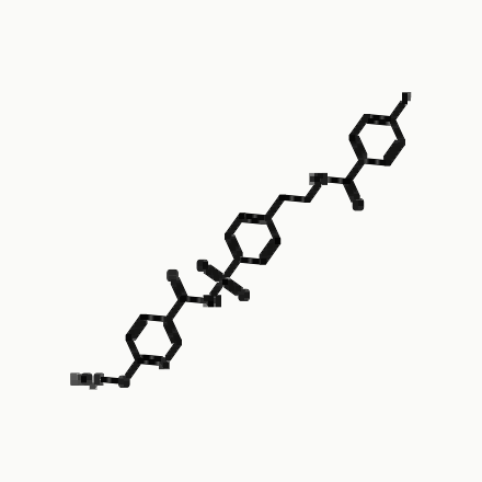 CCOC(=O)Oc1ccc(C(=O)NS(=O)(=O)c2ccc(CCNC(=O)c3ccc(F)cc3)cc2)cn1